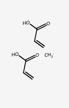 C=CC(=O)O.C=CC(=O)O.[CH3]